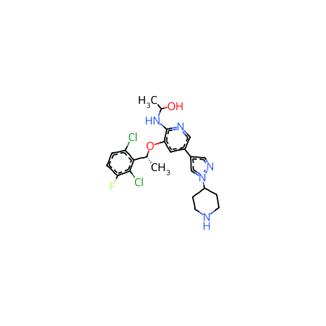 CC(O)Nc1ncc(-c2cnn(C3CCNCC3)c2)cc1O[C@H](C)c1c(Cl)ccc(F)c1Cl